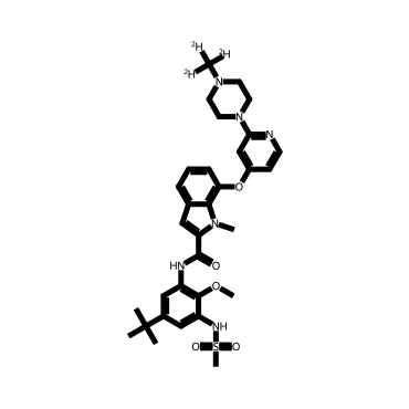 [2H]C([2H])([2H])N1CCN(c2cc(Oc3cccc4cc(C(=O)Nc5cc(C(C)(C)C)cc(NS(C)(=O)=O)c5OC)n(C)c34)ccn2)CC1